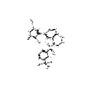 O=S(=O)(c1cccc(C(F)(F)F)c1)N1CCOc2ccc(-c3cc(F)cc(Cl)c3F)cc21